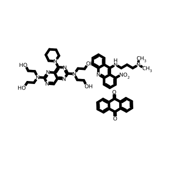 CN(C)CCCNc1c2ccccc2nc2cccc([N+](=O)[O-])c12.O=C1c2ccccc2C(=O)c2ccccc21.OCCN(CCO)c1nc(N2CCCCC2)c2nc(N(CCO)CCO)ncc2n1